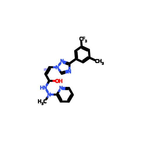 Cc1cc(-c2ncn(/C=C\C(O)NN(C)c3ccccn3)n2)cc(C(F)(F)F)c1